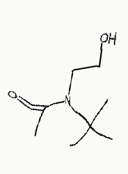 CC(=O)N(CCO)C(C)(C)C